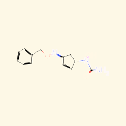 NC(=O)N(O)[C@H]1C=C/C(=N\OCc2ccccc2)C1